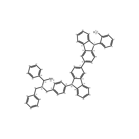 Cc1ccccc1-n1c2ccccc2c2cc(-c3ccc4c(c3)c3ccccc3n4-c3ccc(CN(Cc4ccccc4)C(N)c4ccccc4)cc3)ccc21